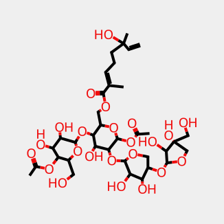 C=CC(C)(O)CC/C=C(\C)C(=O)OCC1OC(OC(C)=O)C(OC2OCC(OC3OCC(O)(CO)C3O)C(O)C2O)C(O)C1OC1OC(CO)C(OC(C)=O)C(O)C1O